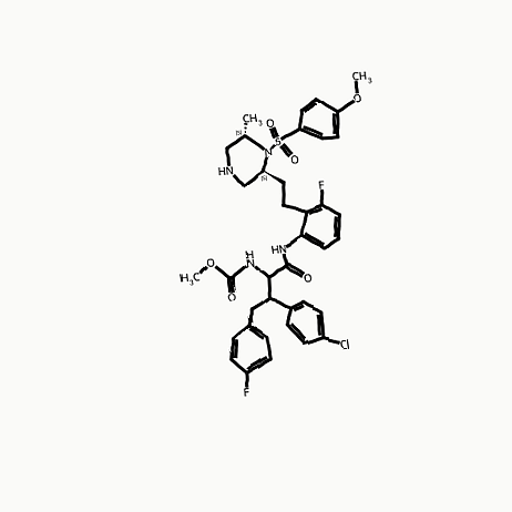 COC(=O)NC(C(=O)Nc1cccc(F)c1CC[C@H]1CNC[C@H](C)N1S(=O)(=O)c1ccc(OC)cc1)C(Cc1ccc(F)cc1)c1ccc(Cl)cc1